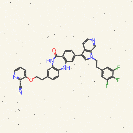 N#Cc1ncccc1OCCc1ccc2c(c1)NC(=O)c1ccc(-c3cn(CCc4cc(F)c(F)c(F)c4)c4cnccc34)cc1N2